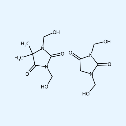 CC1(C)C(=O)N(CO)C(=O)N1CO.O=C1CN(CO)C(=O)N1CO